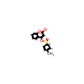 Cc1ccc(S(=O)Oc2cc(=O)oc3ccccc23)cc1